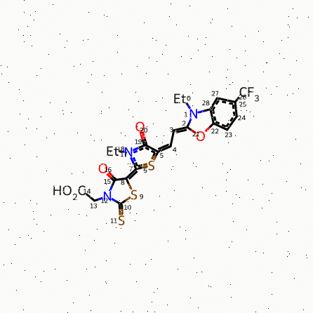 CCN1/C(=C/C=c2/s/c(=C3\SC(=S)N(CC(=O)O)C3=O)n(CC)c2=O)Oc2ccc(C(F)(F)F)cc21